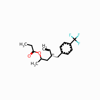 C=C[C@H](Cc1ccc(C(F)(F)F)cc1)CC(C)OC(=O)CC